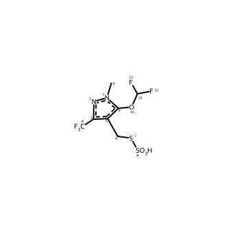 Cn1nc(C(F)(F)F)c(CSS(=O)(=O)O)c1OC(F)F